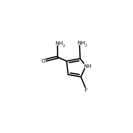 NC(=O)c1cc(F)[nH]c1N